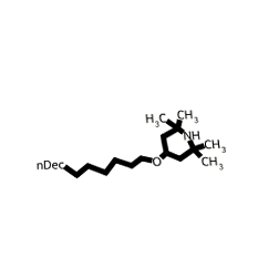 CCCCCCCCCCCCCCCCOC1CC(C)(C)NC(C)(C)C1